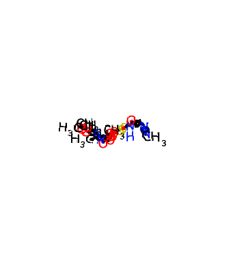 CCc1c2c(nc3ccc(OC(=O)OC(C)(C)C)cc13)-c1cc3c(c(=O)n1C2)COC(=O)[C@@]3(CC)OC(=O)OCCSSCCNC(=O)c1ccc(CN2CCN(C)CC2)cc1